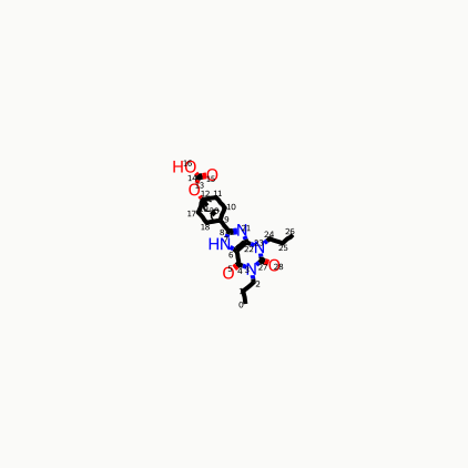 CCCn1c(=O)c2[nH]c(C34CCC(OC(=O)O)(CC3)CC4)nc2n(CCC)c1=O